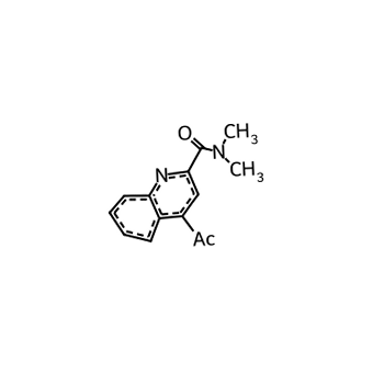 CC(=O)c1cc(C(=O)N(C)C)nc2ccccc12